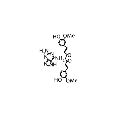 COc1cc(/C=C/C(=O)CC(=O)/C=C/c2ccc(O)c(OC)c2)ccc1O.Nc1nc(N)c2[nH]cnc2n1